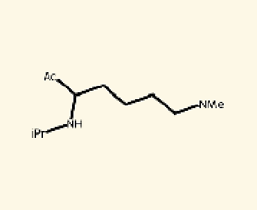 CNCCCCC(NC(C)C)C(C)=O